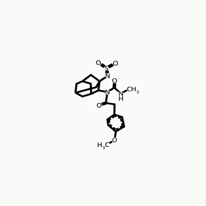 CNC(=O)N(C(=O)Cc1ccc(OC)cc1)C1C2CC3CC(C2)CC1(N=S(=O)=O)C3